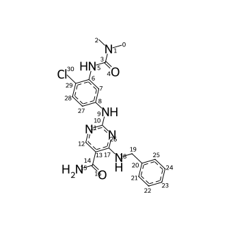 CN(C)C(=O)Nc1cc(Nc2ncc(C(N)=O)c(NCc3ccccc3)n2)ccc1Cl